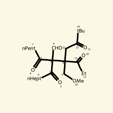 CCCCCCCC(=O)C([C]=O)(C(=O)CCCCC)C(COC)(CC(=O)C(C)(C)C)C(=O)CC